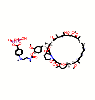 COC1CC(C[C@H]2C3CCCN4C(=O)C(=O)C5(O)O[C@@H](CCC5C)C[C@H](OC)/C(C)=C/C=C/C=C/[C@@H](C)CC(C)C(=O)[C@H](OC)C(O)/C(C)=C/C(C)C(=O)C[C@@H]2OC(=O)C34)CC[C@H]1OC(=O)N(C)CCN(C)c1ccc(C(OP(O)O)O[PH](=O)O)cc1